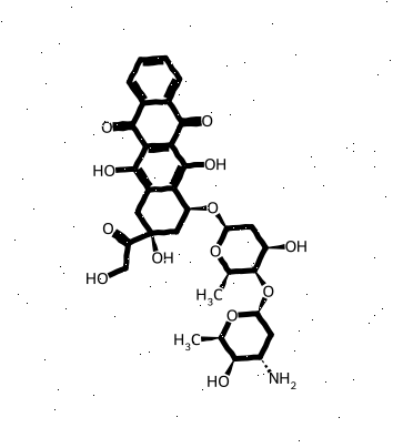 C[C@H]1O[C@@H](O[C@@H]2[C@H](O)C[C@H](O[C@H]3C[C@](O)(C(=O)CO)Cc4c(O)c5c(c(O)c43)C(=O)c3ccccc3C5=O)O[C@@H]2C)C[C@H](N)[C@H]1O